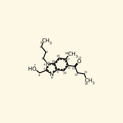 CCCCn1c(CO)nc2cc(C(=O)CCC)c(C)cc21